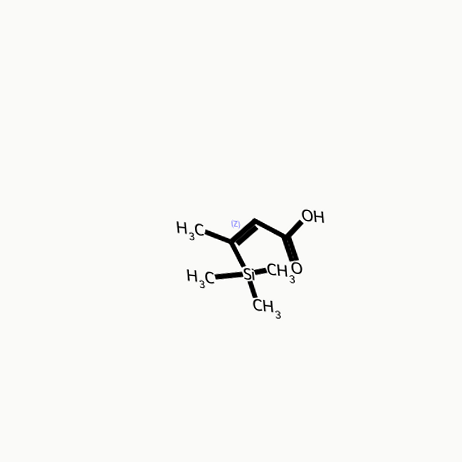 C/C(=C/C(=O)O)[Si](C)(C)C